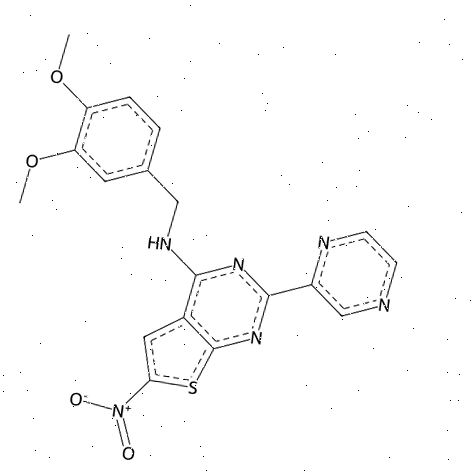 COc1ccc(CNc2nc(-c3cnccn3)nc3sc([N+](=O)[O-])cc23)cc1OC